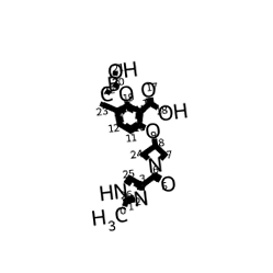 Cc1nc(C(=O)N2CC(Oc3ccc4c(c3C(=O)O)OB(O)CC4)C2)c[nH]1